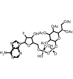 CC(=O)OC[C@@H](OC(C)=O)C1OC(OP(=O)(O)OP(=O)(O)OCC2OC(n3cnc4c(N)ncnc43)C(F)C2O)C(OC(C)=O)C(OC(C)=O)C1OC(C)=O